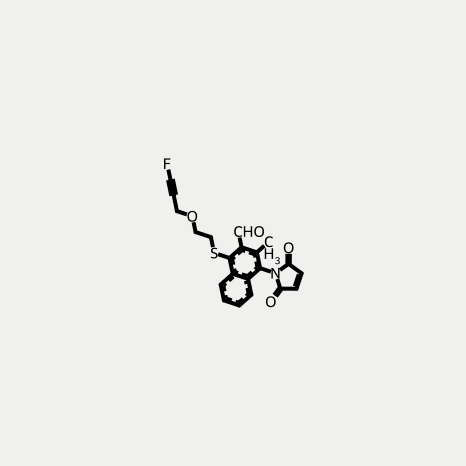 Cc1c(C=O)c(SCCOCC#CF)c2ccccc2c1N1C(=O)C=CC1=O